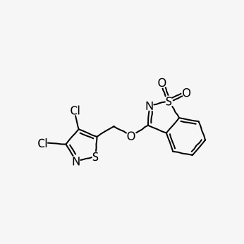 O=S1(=O)N=C(OCc2snc(Cl)c2Cl)c2ccccc21